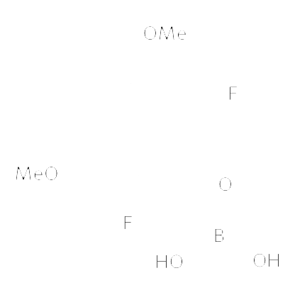 COc1cc(OC)c(F)c(OB(O)O)c1F